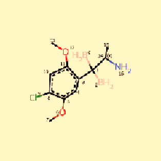 BC(B)(c1cc(OC)c(Cl)cc1OC)[C@@H](C)N